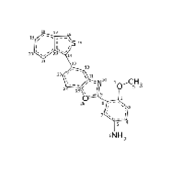 COc1ccc(N)cc1-c1nc2cc(-c3scc4ccccc34)ccc2o1